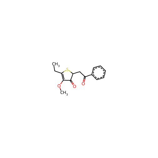 CCC1=C(OC)C(=O)C(CC(=O)c2ccccc2)S1